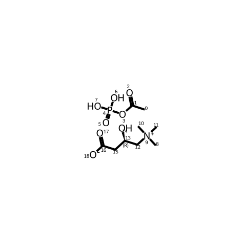 CC(=O)OP(=O)(O)O.C[N+](C)(C)C[C@H](O)CC(=O)[O-]